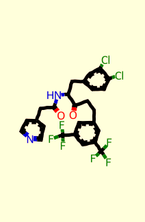 O=C(Cc1ccncc1)NC(Cc1ccc(Cl)c(Cl)c1)C(=O)CCc1cc(C(F)(F)F)cc(C(F)(F)F)c1